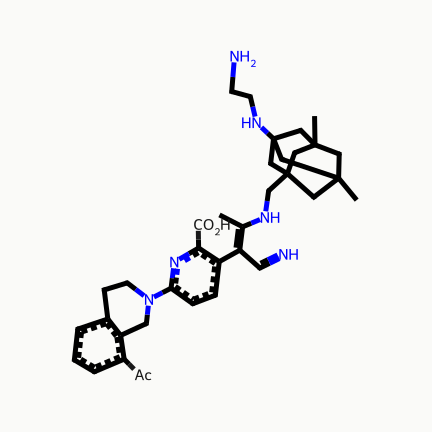 CC(=O)c1cccc2c1CN(c1ccc(/C(C=N)=C(\C)NCC34CC5(C)CC(C)(C3)CC(NCCN)(C5)C4)c(C(=O)O)n1)CC2